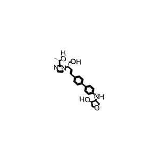 C[C@H](O)c1nccn1[C@@H](/C=C/c1ccc(-c2ccc(NC3COC[C@H]3O)cc2)cc1)CO